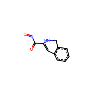 O=NC(=O)C1=Cc2ccccc2CN1